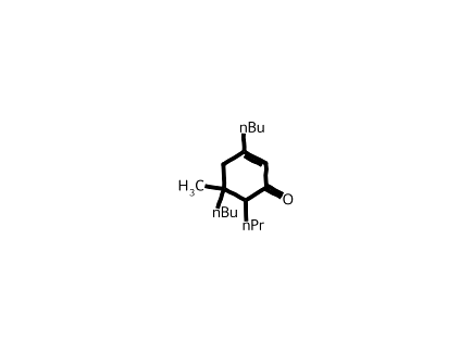 CCCCC1=CC(=O)C(CCC)C(C)(CCCC)C1